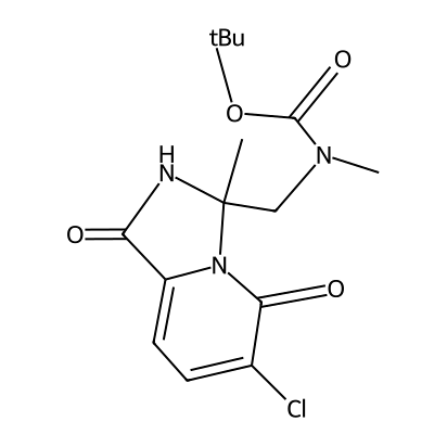 CN(CC1(C)NC(=O)c2ccc(Cl)c(=O)n21)C(=O)OC(C)(C)C